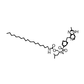 CCCCCCCCCCCCCCCCCCNC(=O)OC[C@H](CC(C)C)N(C)S(=O)(=O)c1ccc(Cc2nccc3[nH]c(C)nc23)cc1